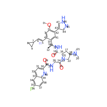 COc1cc(/C=C/C2CC2)c([C@H](C)NC(=O)[C@@H]2C[C@@H](N(C)C)CN2C(=O)CNC(=O)c2ccc3cc(F)ccc3n2)cc1-c1cn[nH]c1